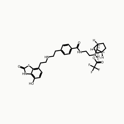 CN(CCNC(=O)c1ccc(CCNCCc2ccc(O)c3[nH]c(=O)sc23)cc1)[C@H]1[C@H]2CC[C@@H]1[C@H](OC(=O)C(F)(F)F)C2